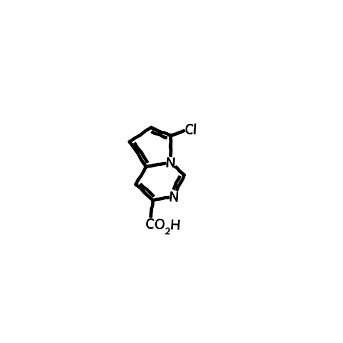 O=C(O)c1cc2ccc(Cl)n2cn1